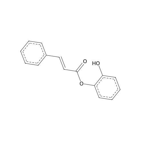 O=C(/C=C/c1ccccc1)Oc1ccccc1O